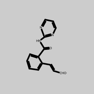 O=[C]/C=C/c1ccccc1C(=O)Nc1ncccn1